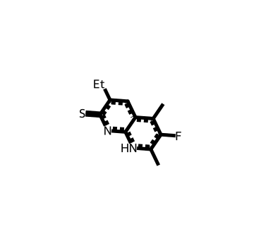 CCc1cc2c(C)c(F)c(C)[nH]c-2nc1=S